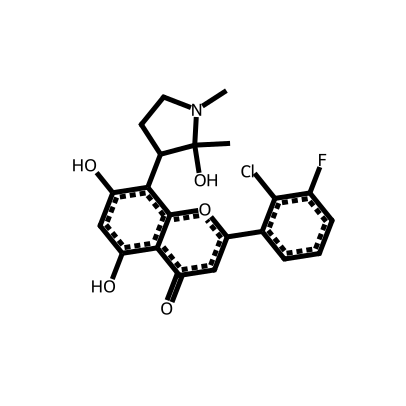 CN1CCC(c2c(O)cc(O)c3c(=O)cc(-c4cccc(F)c4Cl)oc23)C1(C)O